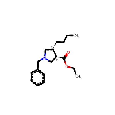 CCCC[C@H]1CN(Cc2ccccc2)C[C@@H]1C(=O)OCC